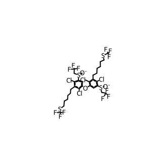 [O-][S+](CC(F)(F)F)c1cc(Oc2cc([S+]([O-])CC(F)(F)F)c(Cl)c(CCCCCCSC(F)(F)F)c2Cl)c(Cl)c(CCCCCCSC(F)(F)F)c1Cl